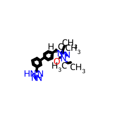 CCC(C)n1nc(C(C)(C)C)n(Cc2ccc(-c3cccc(-c4nnn[nH]4)c3)cc2)c1=O